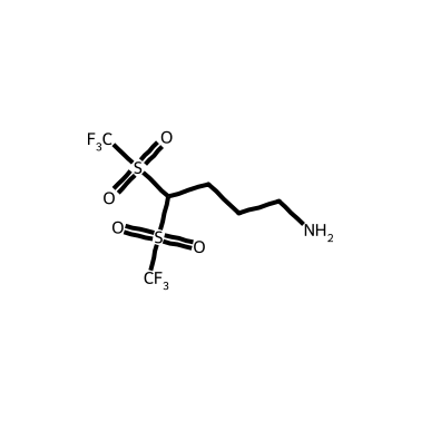 NCCCC(S(=O)(=O)C(F)(F)F)S(=O)(=O)C(F)(F)F